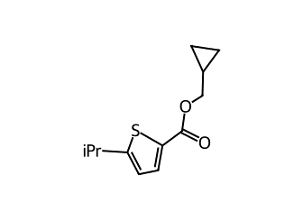 CC(C)c1ccc(C(=O)OCC2CC2)s1